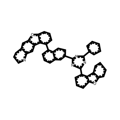 c1ccc(-c2nc(-c3ccc4c(-c5cccc6oc7cc8cccnc8cc7c56)cccc4c3)nc(-c3cccc4oc5ccccc5c34)n2)cc1